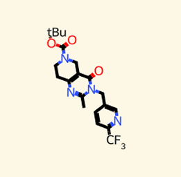 Cc1nc2c(c(=O)n1Cc1ccc(C(F)(F)F)nc1)CN(C(=O)OC(C)(C)C)CC2